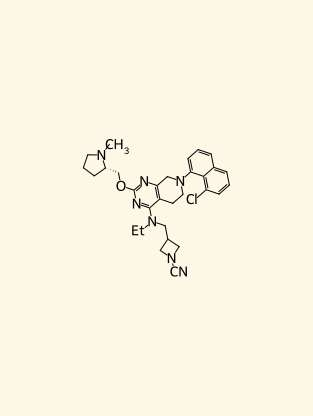 CCN(CC1CN(C#N)C1)c1nc(OC[C@@H]2CCCN2C)nc2c1CCN(c1cccc3cccc(Cl)c13)C2